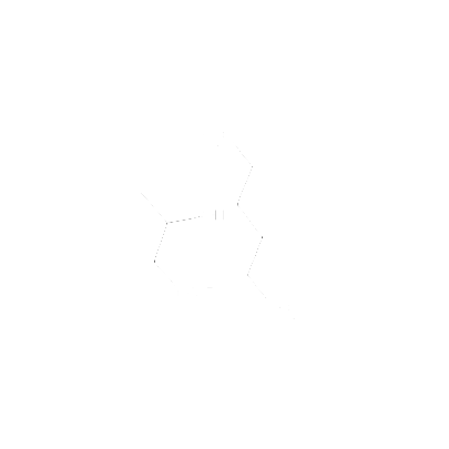 CCOC(=O)CC(C)O.O=C(O)CCCCC(=O)O